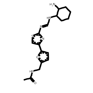 CC(=O)NCc1ccc(-c2csc(N=CNC3CCCCC3N)n2)o1